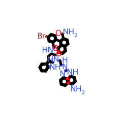 NC(=O)c1ccc2ccccc2c1-c1ccc(Br)cc1C(=O)NC(Cc1c[nH]c2ccccc12)C(=O)NCCNC(=Nc1ccccc1)Nc1ccc(N)cc1